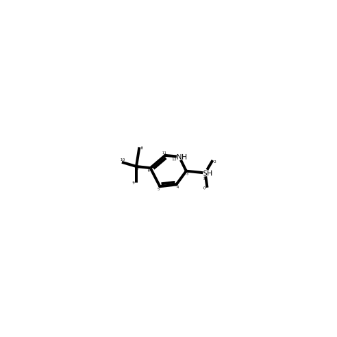 C[SH](C)C1C=CC(C(C)(C)C)=CN1